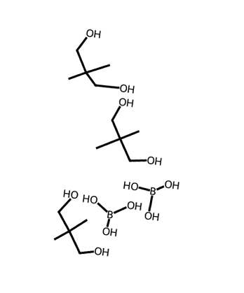 CC(C)(CO)CO.CC(C)(CO)CO.CC(C)(CO)CO.OB(O)O.OB(O)O